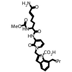 COC(=O)NC(CC/C=C/C(N)=O)C(=O)Nc1cccn(Cc2cc3cccc(CC(C)C)c3n2C(=O)O)c1=O